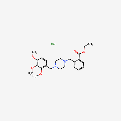 CCOC(=O)c1ccccc1CN1CCN(Cc2ccc(OC)c(OC)c2OC)CC1.Cl